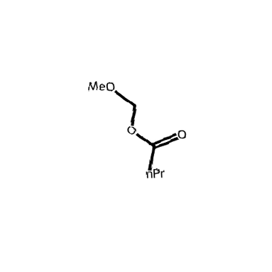 CCCC(=O)OCOC